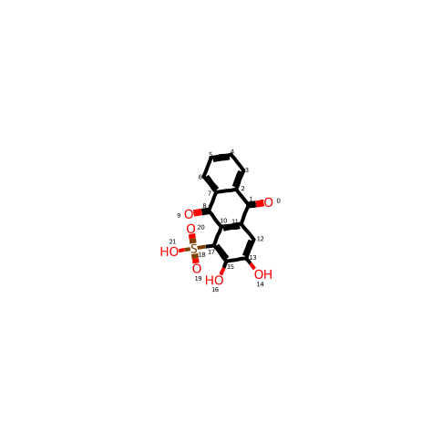 O=C1c2ccccc2C(=O)c2c1cc(O)c(O)c2S(=O)(=O)O